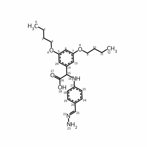 CCCCOc1cc(OCCCC)cc(C(Nc2ccc(C=NN)cc2)C(=O)O)c1